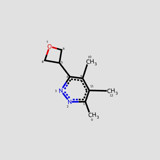 Cc1nnc(C2COC2)c(C)c1C